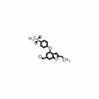 CCc1cc2c(Oc3ccc(S(C)(=O)=O)cc3)cc(C=O)cc2o1